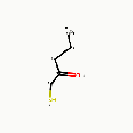 CCCCCC(=O)CS